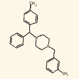 Cc1ccc(C(c2ccccc2)N2CCN(Cc3cccc(C)c3)CC2)cc1